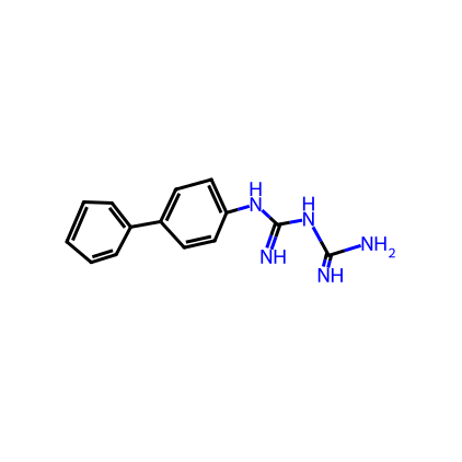 N=C(N)NC(=N)Nc1ccc(-c2ccccc2)cc1